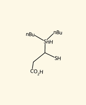 CCC[CH2][SnH]([CH2]CCC)[CH](S)CC(=O)O